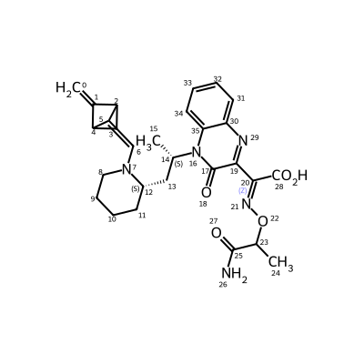 C=C1C2CC1C2=CN1CCCC[C@H]1C[C@H](C)n1c(=O)c(/C(=N/OC(C)C(N)=O)C(=O)O)nc2ccccc21